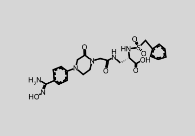 NC(=NO)c1ccc(N2CCN(CC(=O)NC[C@H](NS(=O)(=O)Cc3ccccc3)C(=O)O)C(=O)C2)cc1